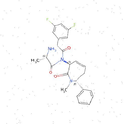 C[C@H](N)C(=O)N(C(=O)Cc1cc(F)cc(F)c1)[C@H]1C=CC[C@H](c2ccccc2)N(C)C1=O